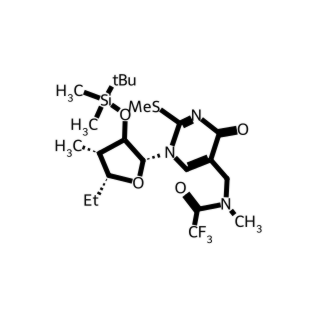 CC[C@H]1O[C@@H](n2cc(CN(C)C(=O)C(F)(F)F)c(=O)nc2SC)C(O[Si](C)(C)C(C)(C)C)[C@H]1C